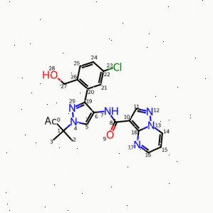 CC(=O)C(C)(C)n1cc(NC(=O)c2cnn3cccnc23)c(-c2cc(Cl)ccc2CO)n1